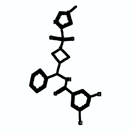 Cn1cnc(S(=O)(=O)N2CC(C(NC(=O)c3cc(Cl)cc(Cl)c3)c3ccccc3)C2)c1